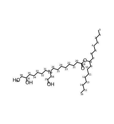 CCCCCCCCC(CCCCCCCC)OC(=O)CCCCCCCN(CCO)CCCCCC(O)CO